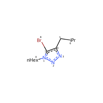 CCCCCCn1nnc(CC(C)C)c1Br